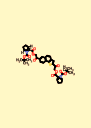 CC(C)(C)OC(=O)N1C2CCC(C2)C1C(=O)OCC(=O)c1cc2ccc3cc(C(=O)COC(=O)[C@@H]4[C@H]5CC[C@H](C5)N4C(=O)OC(C)(C)C)ccc3c2s1